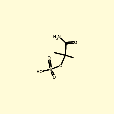 CC(C)(OS(=O)(=O)O)C(N)=O